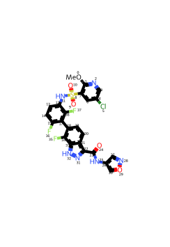 COc1ncc(Cl)cc1S(=O)(=O)Nc1ccc(F)c(-c2ccc3c(C(=O)Nc4cnoc4)n[nH]c3c2F)c1F